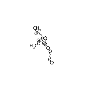 CCOC(=O)CCCc1cn(CC(=O)OCC)c2c(-c3cc(-c4ccc(OCCCCOc5ccccc5)cc4)no3)cccc12